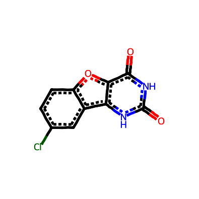 O=c1[nH]c(=O)c2oc3ccc(Cl)cc3c2[nH]1